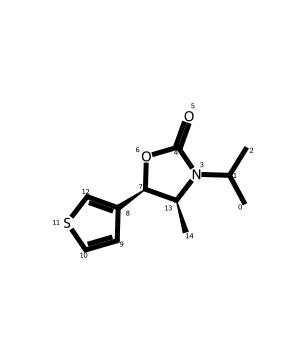 CC(C)N1C(=O)O[C@H](c2ccsc2)[C@@H]1C